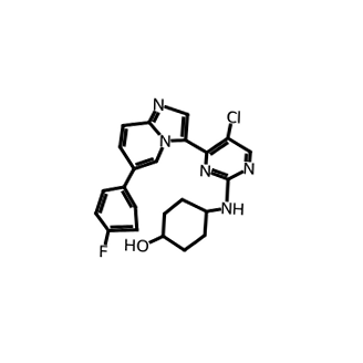 OC1CCC(Nc2ncc(Cl)c(-c3cnc4ccc(-c5ccc(F)cc5)cn34)n2)CC1